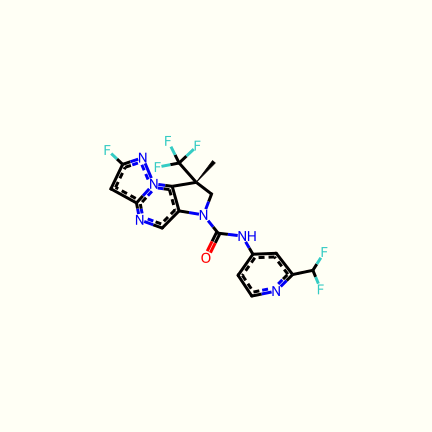 C[C@@]1(C(F)(F)F)CN(C(=O)Nc2ccnc(C(F)F)c2)c2cnc3cc(F)nn3c21